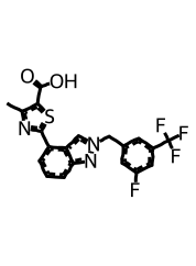 Cc1nc(-c2cccc3nn(Cc4cc(F)cc(C(F)(F)F)c4)cc23)sc1C(=O)O